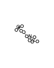 O=P(c1ccccc1)(c1ccccc1)c1ccc2cc(-c3ccc4c(c3)nc(-c3ccccc3)c3c4ccc4ccc(-c5ccccc5)nc43)ccc2c1